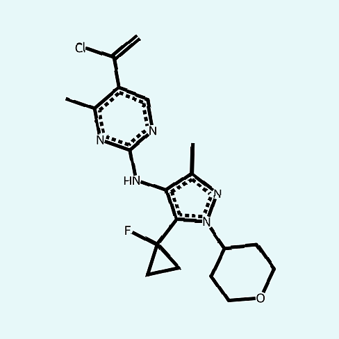 C=C(Cl)c1cnc(Nc2c(C)nn(C3CCOCC3)c2C2(F)CC2)nc1C